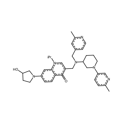 Cc1ccc(N2CCCC(N(Cc3ccnc(C)c3)Cc3cn(C(C)C)c4cc(N5CCC(O)C5)ccc4c3=O)C2)cn1